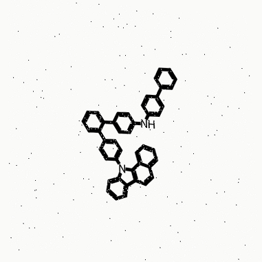 c1ccc(-c2ccc(Nc3ccc(-c4ccccc4-c4ccc(-n5c6ccccc6c6ccc7ccccc7c65)cc4)cc3)cc2)cc1